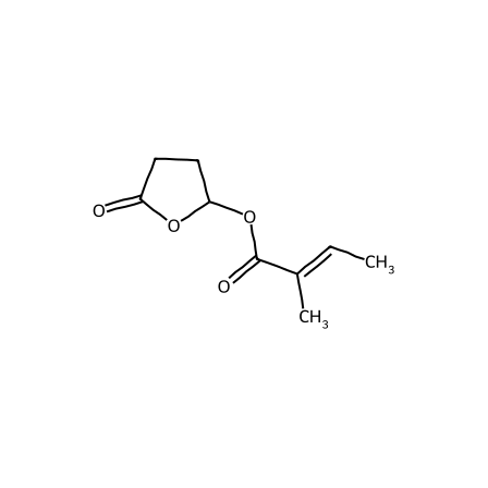 CC=C(C)C(=O)OC1CCC(=O)O1